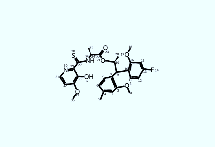 COc1cc(C)ccc1C(c1ccc(F)cc1OC)[C@H](C)OC(=O)[C@H](C)NC(=S)c1nccc(OC)c1O